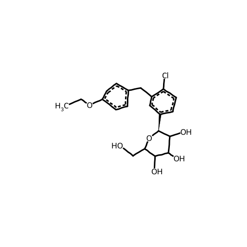 CCOc1ccc(Cc2cc([C@@H]3OC(CO)C(O)C(O)C3O)ccc2Cl)cc1